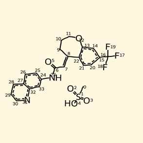 CS(=O)(=O)O.O=C(C=C1CCCOc2cc(C(F)(F)F)ccc21)Nc1ccc2cccnc2c1